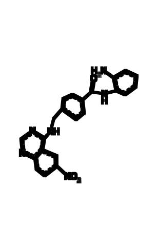 Nc1ccccc1NC(=O)c1ccc(CNc2ncnc3ccc([N+](=O)[O-])cc23)cc1